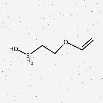 C=COCC[SiH2]O